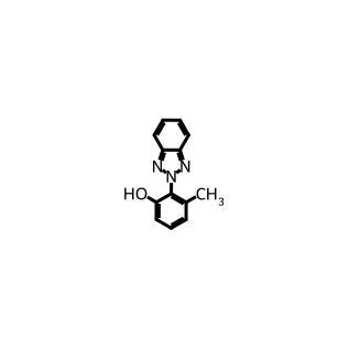 Cc1cccc(O)c1-n1nc2ccccc2n1